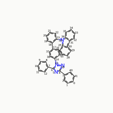 c1ccc(-c2nc(-c3ccccc3)n(-c3ccc(-c4ccccc4-n4c5ccccc5c5ccccc54)cc3)n2)cc1